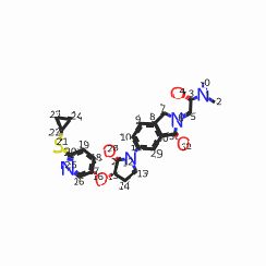 CN(C)C(=O)CN1Cc2ccc(N3CC[C@@H](Oc4ccc(SC5CC5)nc4)C3=O)cc2C1=O